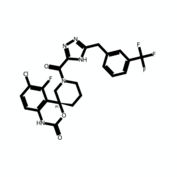 O=C1Nc2ccc(Cl)c(F)c2[C@@]2(CCCN(C(=O)c3nnc(Cc4cccc(C(F)(F)F)c4)[nH]3)C2)O1